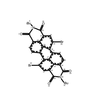 CCC(C)N1C(=O)c2ccc3c4c(Br)cc5c6c(ccc(c7c(Br)cc(c2c37)C1=O)c64)C(=O)N(C(C)CC)C5=O